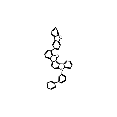 c1ccc(-c2cccc(-n3c4ccccc4c4c5oc6c(-c7ccc8oc9ccccc9c8c7)cccc6c5ccc43)c2)cc1